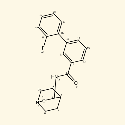 O=C(NC1CN2CCC1CC2)c1cccc(-c2ccccc2F)c1